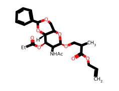 C=CCOC(=O)C(C)CO[C@@H]1OC2COC(c3ccccc3)O[C@H]2[C@H](OC(=O)CC)C1NC(C)=O